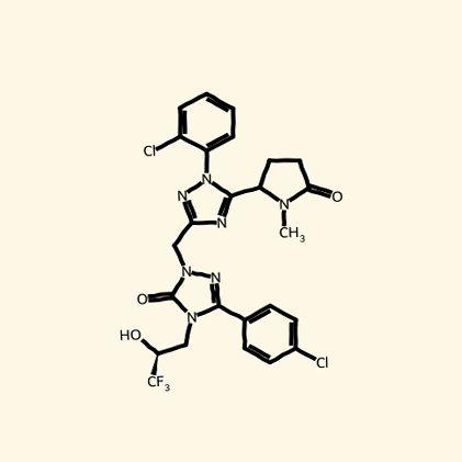 CN1C(=O)CCC1c1nc(Cn2nc(-c3ccc(Cl)cc3)n(C[C@H](O)C(F)(F)F)c2=O)nn1-c1ccccc1Cl